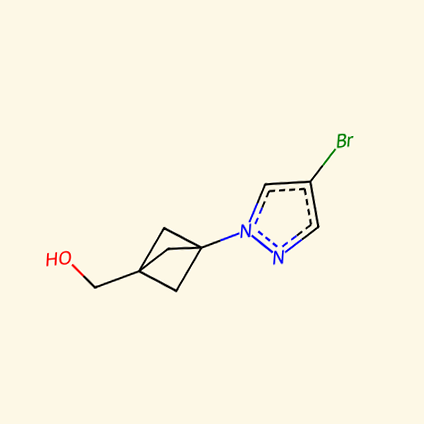 OCC12CC(n3cc(Br)cn3)(C1)C2